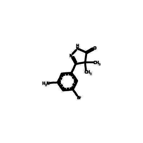 CC1(C)C(=O)NN=C1c1cc(N)cc(Br)c1